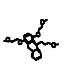 COCCCC12c3ccccc3C(c3ccccc31)c1c(OCCOC)ccc(OCCOC)c12